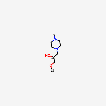 CCOC[C@@H](O)CN1CCN(C)CC1